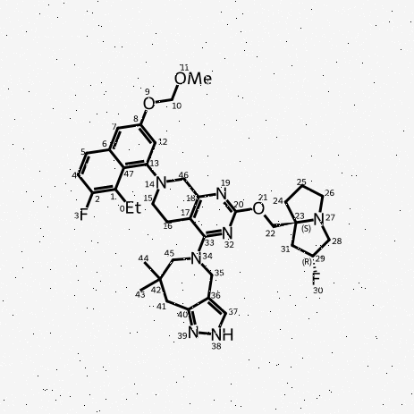 CCc1c(F)ccc2cc(OCOC)cc(N3CCc4c(nc(OC[C@@]56CCCN5C[C@H](F)C6)nc4N4Cc5c[nH]nc5CC(C)(C)C4)C3)c12